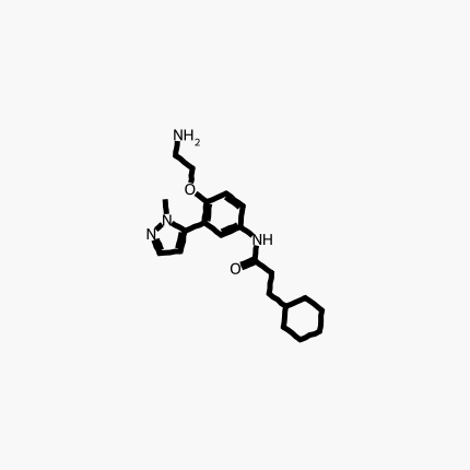 Cn1nccc1-c1cc(NC(=O)CCC2CCCCC2)ccc1OCCN